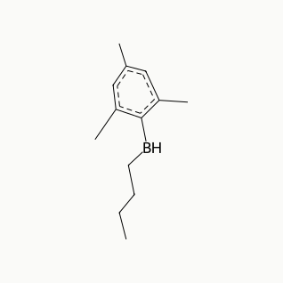 CCCCBc1c(C)cc(C)cc1C